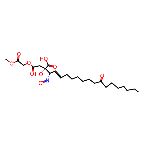 CCCCCCCC(=O)CCCCCC/C=C/[C@H](N=O)[C@@](O)(CC(=O)OCC(=O)OC)C(=O)O